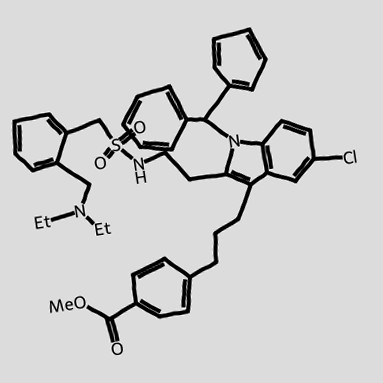 CCN(CC)Cc1ccccc1CS(=O)(=O)NCCc1c(CCCc2ccc(C(=O)OC)cc2)c2cc(Cl)ccc2n1C(c1ccccc1)c1ccccc1